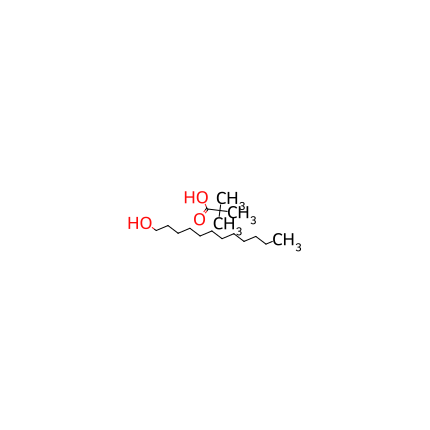 CC(C)(C)C(=O)O.CCCCCCCCCCCCO